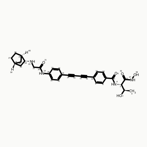 C[C@@H](O)[C@H](NC(=O)c1ccc(C#CC#Cc2ccc(NC(=O)CN[C@@H]3C[C@@H]4CC[C@@H]3C4)cc2)cc1)C(=O)NO